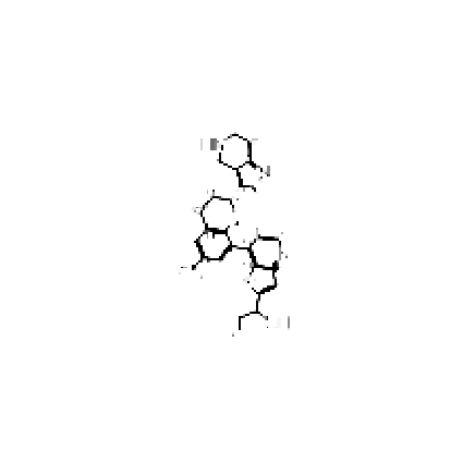 CCC(O)c1cc2nccc(-c3cc(Cl)cc4c3O[C@@H](c3onc5c3CNCC5)CC4)c2s1